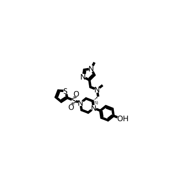 CN(Cc1cn(C)cn1)C[C@H]1CN(S(=O)(=O)c2cccs2)CCN1c1ccc(O)cc1